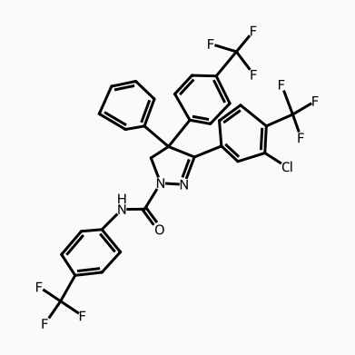 O=C(Nc1ccc(C(F)(F)F)cc1)N1CC(c2ccccc2)(c2ccc(C(F)(F)F)cc2)C(c2ccc(C(F)(F)F)c(Cl)c2)=N1